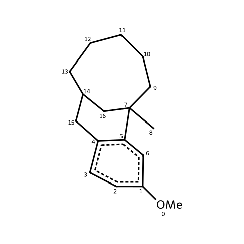 COc1ccc2c(c1)C1(C)CCCCCC(C2)C1